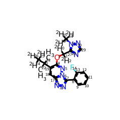 [2H]C([2H])(Oc1nn2c(-c3ccccc3F)nnc2cc1C(C)(C)C([2H])([2H])[2H])c1ncnn1C([2H])([2H])[2H]